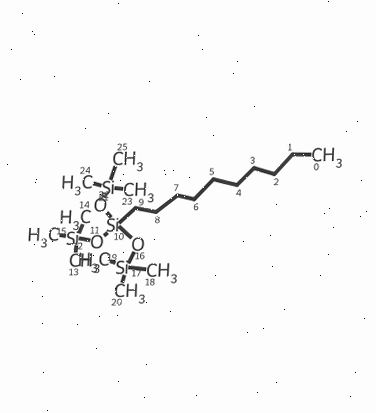 CCCCCCCCCC[Si](O[Si](C)(C)C)(O[Si](C)(C)C)O[Si](C)(C)C